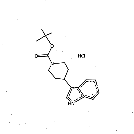 CC(C)(C)OC(=O)N1CCC(c2c[nH]c3ccccc23)CC1.Cl